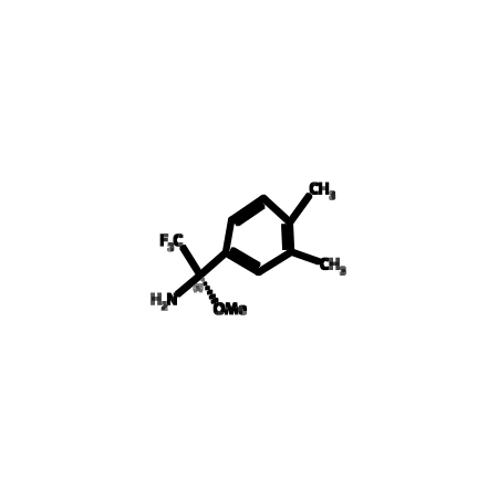 CO[C@@](N)(c1ccc(C)c(C)c1)C(F)(F)F